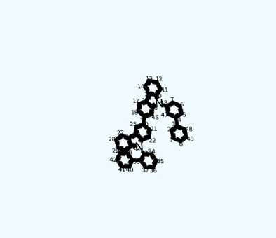 c1ccc(-c2cccc(-n3c4ccccc4c4ccc(-c5ccc6c(c5)c5ccccc5n6-c5ccccc5-c5ccccc5)cc43)c2)cc1